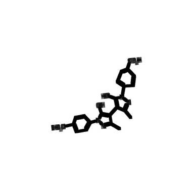 Cc1nn(-c2ccc(C(=O)O)cc2)c(O)c1-c1c(C)nn(-c2ccc(C(=O)O)cc2)c1O